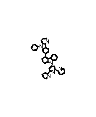 c1ccc(-n2c3cc(-c4cccc5c4c4ccccc4n5-c4cc(-c5ccccn5)nc(-c5ccccn5)c4)ccc3c3ncccc32)cc1